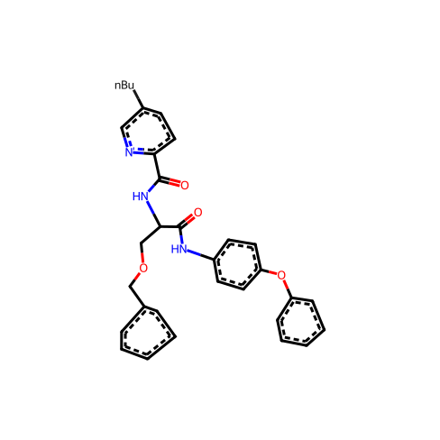 CCCCc1ccc(C(=O)NC(COCc2ccccc2)C(=O)Nc2ccc(Oc3ccccc3)cc2)nc1